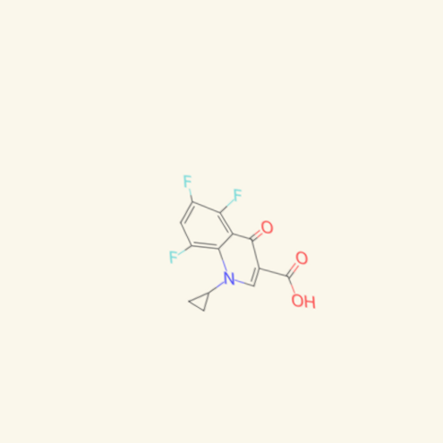 O=C(O)c1cn(C2CC2)c2c(F)cc(F)c(F)c2c1=O